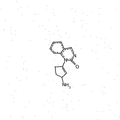 NC1C=C(n2c(=O)ncc3ccccc32)CC1